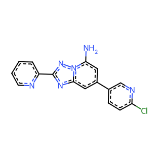 Nc1cc(-c2ccc(Cl)nc2)cc2nc(-c3ccccn3)nn12